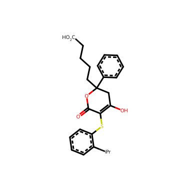 CC(C)c1ccccc1SC1=C(O)CC(CCCCC(=O)O)(c2ccccc2)OC1=O